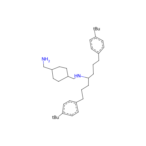 CC(C)(C)c1ccc(CCCC(CCCc2ccc(C(C)(C)C)cc2)NCC2CCC(CN)CC2)cc1